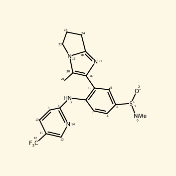 CN[S+]([O-])c1ccc(Nc2ccc(C(F)(F)F)cn2)c(-c2nc3n(c2C)CCC3)c1